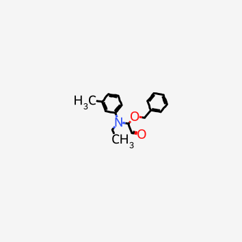 CCN(c1cccc(C)c1)C(C=O)OCc1ccccc1